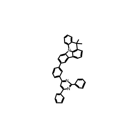 CC1(C)c2ccccc2-n2c3ccc(-c4cccc(-c5cc(-c6ccccc6)nc(-c6ccccc6)n5)c4)cc3c3cccc1c32